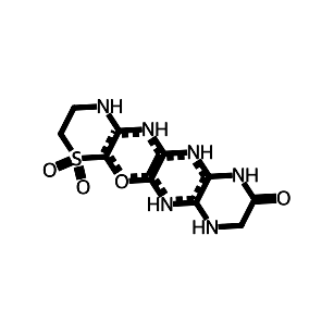 O=C1CNc2[nH]c3oc4c([nH]c=3[nH]c2N1)NCCS4(=O)=O